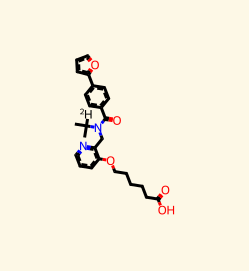 [2H]C(C)(C)N(Cc1ncccc1OCCCCCC(=O)O)C(=O)c1ccc(-c2ccco2)cc1